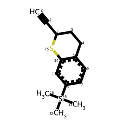 C#CC1CCc2ccc([Si](C)(C)C)cc2S1